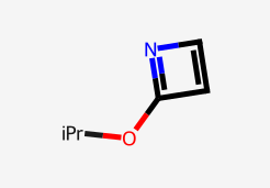 CC(C)OC1=NC=C1